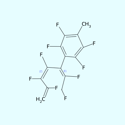 C=C(F)/C(F)=C(F)\C(=C(\F)CF)c1c(F)c(F)c(C)c(F)c1F